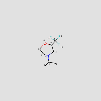 CC(C)N1CCOC(C(F)(F)F)C1